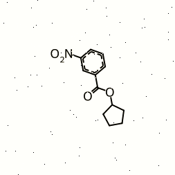 O=C(OC1CCCC1)c1cccc([N+](=O)[O-])c1